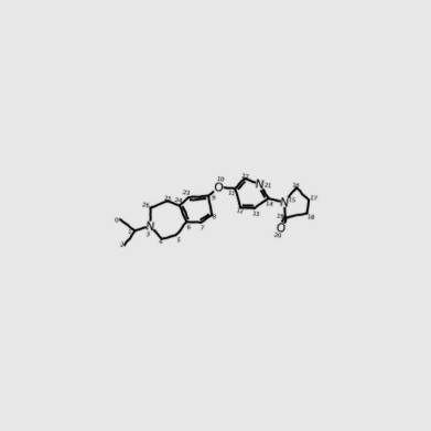 CC(C)N1CCc2ccc(Oc3ccc(N4CCCC4=O)nc3)cc2CC1